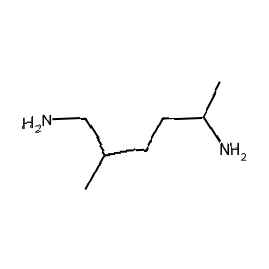 CC(N)CCC(C)CN